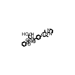 CC1CN(c2ccc(C(=O)NC(CC(=O)O)NS(=O)(=O)c3ccccc3)cc2)CC(C)N1c1ncccn1